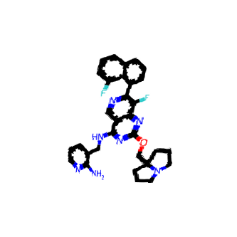 Nc1ncccc1CNc1nc(OCC23CCCN2CCC3)nc2c(F)c(-c3cccc4cccc(F)c34)ncc12